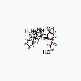 CN(CC#Cc1cc(N2C3CCC2CN(c2cc(-c4ccccc4O)nnc2N)C3)ccn1)CCO